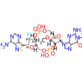 CO[C@H]1[C@H]2OP(=O)(O)OC[C@H]3O[C@@H](c4snc5c(N)ncnc45)[C@@H](F)[C@@H]3OP(=O)(O)OC[C@H]1O[C@H]2n1cnc2c(=O)[nH]c(N)nc21